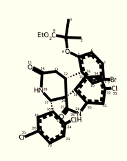 CCOC(=O)C(C)(C)Oc1ccc(Br)cc1[C@H]1CC(=O)N[C@@H](c2cc(Cl)ccc2Cl)[C@]12C(=O)Nc1cc(Cl)ccc12